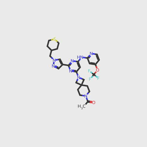 CC(=O)N1CCC2(CC1)CN(c1cc(Nc3cc(OC(F)(F)F)ccn3)nc(-c3cnn(CC4CCSCC4)c3)n1)C2